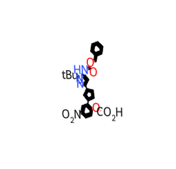 CC(C)(C)n1nc([C@H]2CC[C@@H](c3cc([N+](=O)[O-])ccc3OC(=O)O)C2)cc1NC(=O)OCc1ccccc1